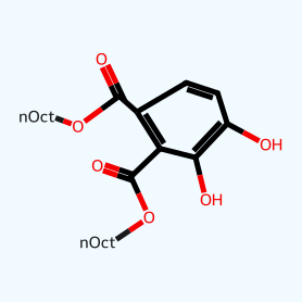 CCCCCCCCOC(=O)c1ccc(O)c(O)c1C(=O)OCCCCCCCC